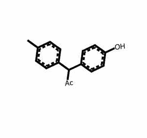 CC(=O)C(c1ccc(C)cc1)c1ccc(O)cc1